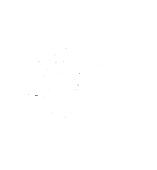 CC(C)(C)[C@H](NC(=O)CC1CCOCC1)C(=O)N1C[C@H]2[C@@H]([C@H]1C(=O)N[C@H](C#N)C[C@@H]1Oc3ccccc3NC1=O)C2(C)C